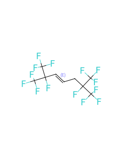 FC(F)(F)C(F)(/C=C/CC(F)(C(F)(F)F)C(F)(F)F)C(F)(F)F